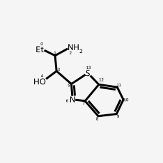 CCC(N)C(O)c1nc2ccccc2s1